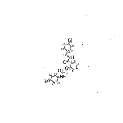 O=C(COc1ccccc1C(=O)NCc1ccc(Cl)cc1)Nc1ccc(Br)cc1